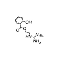 CCN=C(N)NCCOC(=O)c1ccccc1O